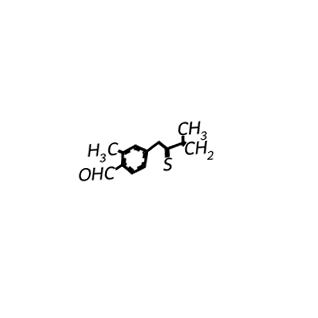 C=C(C)C(=S)Cc1ccc(C=O)c(C)c1